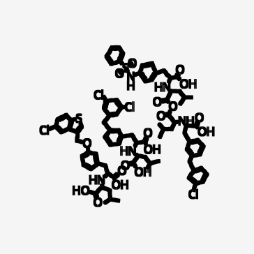 CC(C)CC(NC(Cc1ccc(NS(=O)(=O)c2ccccc2)cc1)C(=O)O)C(=O)OC(=O)C(CC(C)C)NC(Cc1cccc(Cc2cccc(Cl)c2)c1)C(=O)O.CC(C)CC(NC(Cc1cccc(Cc2cc(Cl)cc(Cl)c2)c1)C(=O)O)C(=O)O.CC(C)CC(NC(Cc1cccc(OCc2csc3ccc(Cl)cc23)c1)C(=O)O)C(=O)O